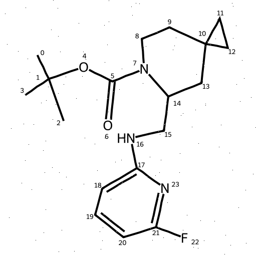 CC(C)(C)OC(=O)N1CCC2(CC2)CC1CNc1cccc(F)n1